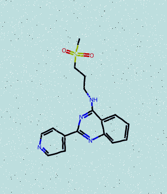 CS(=O)(=O)CCCNc1nc(-c2ccncc2)nc2ccccc12